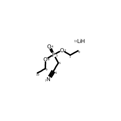 CCOP(=O)(CC#N)OCC.[LiH]